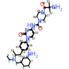 CCN(CC1CCC[C@H](N)C1)C(C)Cc1ccc(-n2ccc(NC(=O)N3CCN(C(=O)C(C)(C)N)CC3)nc2=O)cc1